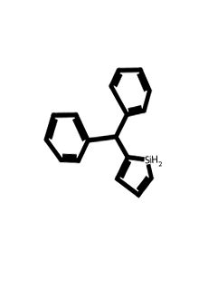 C1=C[SiH2]C(C(c2ccccc2)c2ccccc2)=C1